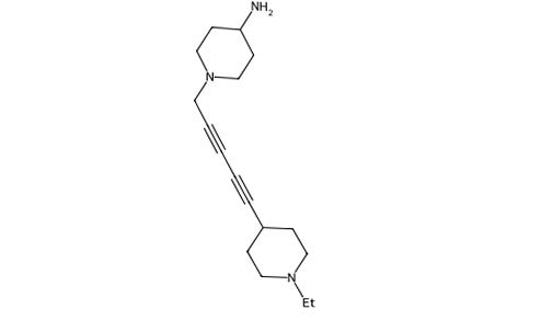 CCN1CCC(C#CC#CCN2CCC(N)CC2)CC1